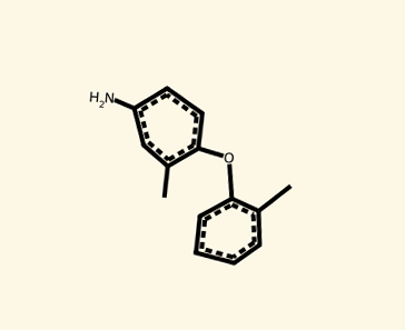 Cc1ccccc1Oc1ccc(N)cc1C